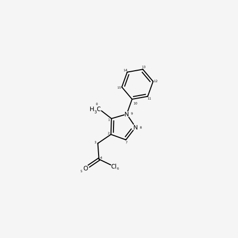 Cc1c(CC(=O)Cl)cnn1-c1ccccc1